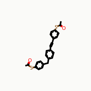 CC(=O)Sc1ccc(C#Cc2ccc(Cc3ccc(SC(C)=O)cc3)cc2)cc1